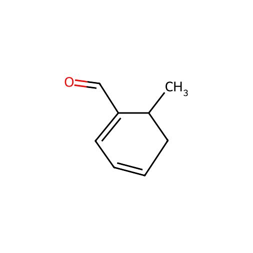 CC1CC=CC=C1C=O